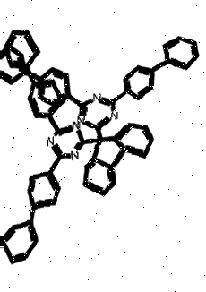 c1ccc(-c2ccc(-c3nc(-c4ccc(-c5ccccc5)cc4)nc(C4(c5nc(-c6ccc(-c7ccccc7)cc6)nc(-c6ccc(-c7ccccc7)cc6)n5)c5ccccc5-c5ccccc54)n3)cc2)cc1